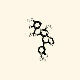 Cc1nc(NC(C)c2cccc(C(F)(F)F)c2F)c2c(n1)N1CCN=C1C(c1ccn(C)c(=O)c1)=C2